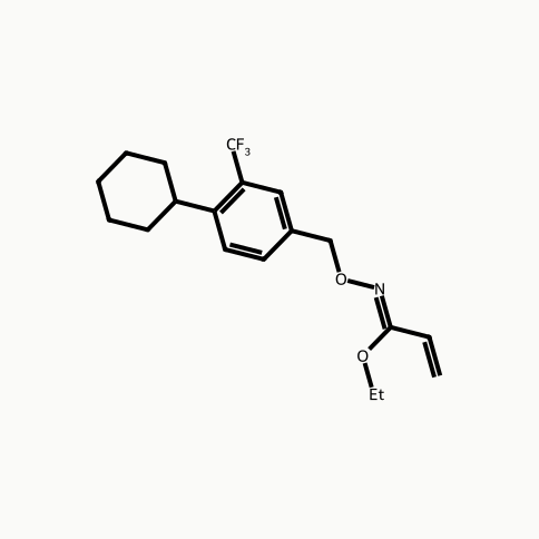 C=C/C(=N/OCc1ccc(C2CCCCC2)c(C(F)(F)F)c1)OCC